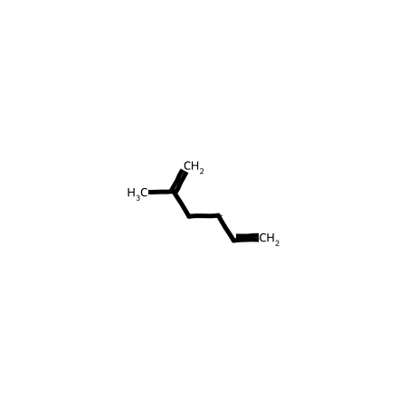 C=C[CH]CC(=C)C